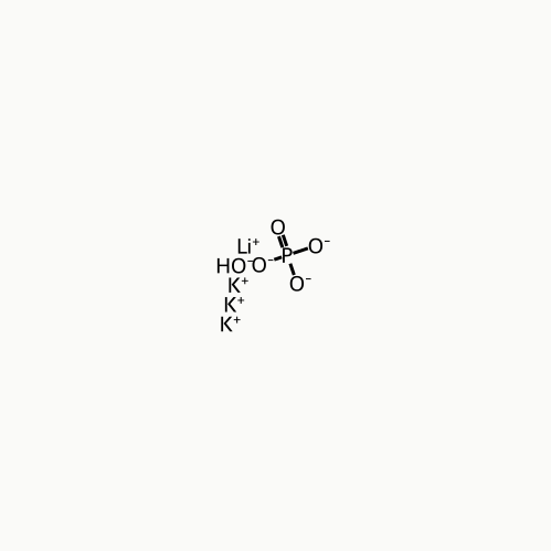 O=P([O-])([O-])[O-].[K+].[K+].[K+].[Li+].[OH-]